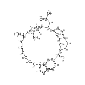 Cc1c2ccc(c1N)N(N)CCCCCCn1ccc3ccc(cc31)C(=O)N1CCc3ccc(cc3C1)C2CC(=O)O